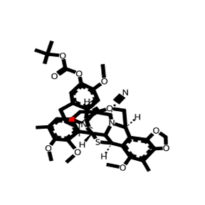 COc1cc2c(cc1OC(=O)OC(C)(C)C)CCN[C@]21CS[C@@H]2c3c(OC)c(C)c4c(c3[C@H](COC1=O)N1C2[C@@H]2c3c(cc(C)c(OC)c3OC)C[C@@H]([C@@H]1C#N)N2C)OCO4